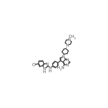 CN1CCN([C@H]2CC[C@H](n3cc(-c4ccc(Nc5nc6ccc(Cl)cc6[nH]5)cc4)c4c(N)ncnc43)CC2)CC1